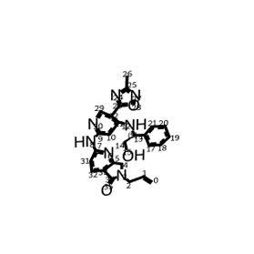 C=CCN1Cc2nc(Nc3cc(N[C@H](CO)c4ccccc4)c(-c4nc(C)no4)cn3)ccc2C1=O